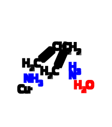 C=C.C=C.N.N.O.[Cu]